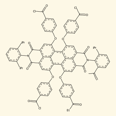 C=C(C)c1cccc(C(C)C)c1N1C(=O)c2cc(Oc3ccc(C(=O)Cl)cc3)c3c4c(Oc5ccc(C(=O)Cl)cc5)cc5c6c(cc(Oc7ccc(C(=O)Cl)cc7)c(c7c(Oc8ccc(C(=O)CC)cc8)cc(c2c37)C1=O)c64)C(=O)N(c1c(C(C)C)cccc1C(C)C)C5=O